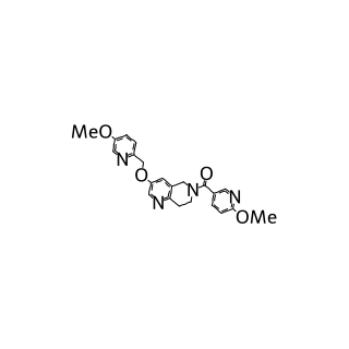 COc1ccc(COc2cnc3c(c2)CN(C(=O)c2ccc(OC)nc2)CC3)nc1